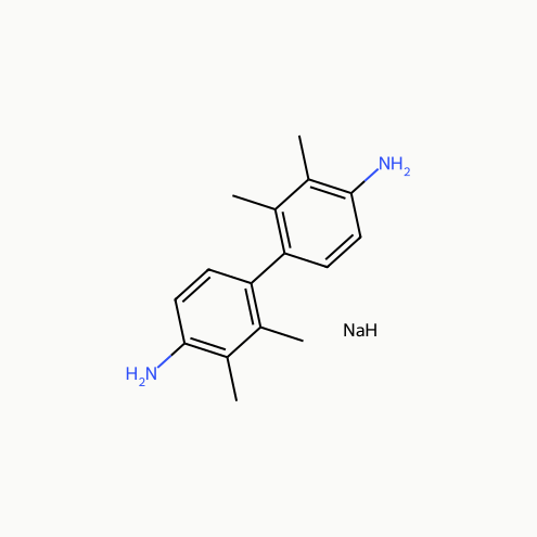 Cc1c(N)ccc(-c2ccc(N)c(C)c2C)c1C.[NaH]